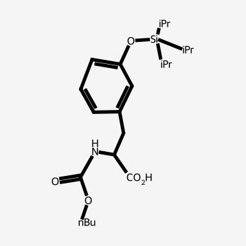 CCCCOC(=O)NC(Cc1cccc(O[Si](C(C)C)(C(C)C)C(C)C)c1)C(=O)O